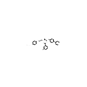 COc1ccc(NCCNC(=O)[C@H](Cc2ccc(-c3ccncc3)cc2)NC(=O)c2cccc(C)c2)cc1